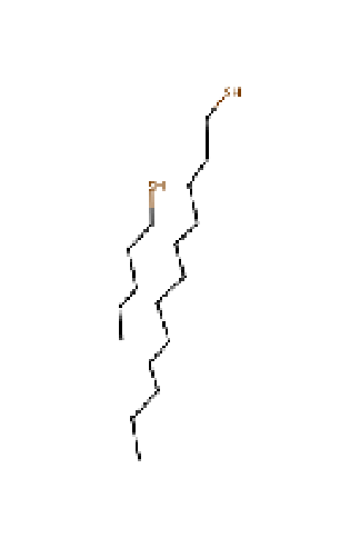 CCCCCCCCCCCCS.CCCCCS